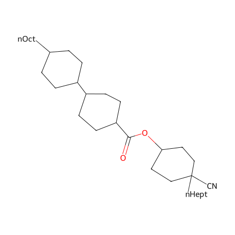 CCCCCCCCC1CCC(C2CCC(C(=O)OC3CCC(C#N)(CCCCCCC)CC3)CC2)CC1